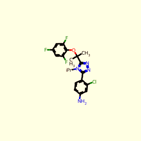 CC(C)n1c(-c2ccc(N)cc2Cl)nnc1C(C)(C)Oc1c(F)cc(F)cc1F